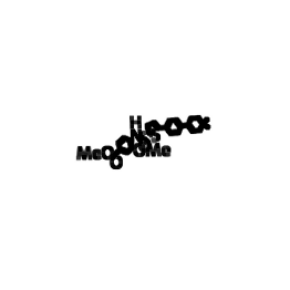 COC(=O)c1ccc(N[S+]([O-])c2ccc(-c3ccc(C4=CCC(C)(C)CC4)cc3)s2)c(OC)c1